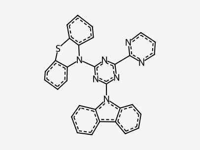 c1cnc(-c2nc(N3c4ccccc4Sc4ccccc43)nc(-n3c4ccccc4c4ccccc43)n2)nc1